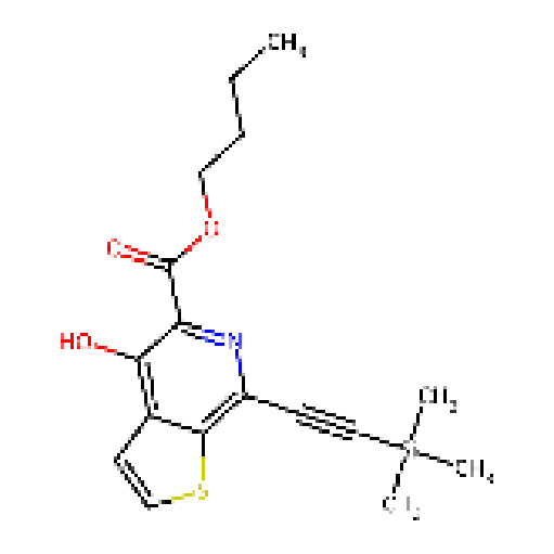 CCCCOC(=O)c1nc(C#C[Si](C)(C)C)c2sccc2c1O